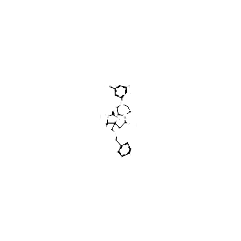 CC(CC1(COCc2ccccc2)NC(=O)NC1=O)N1CCN(c2cc(Cl)cc(Cl)c2)CC1